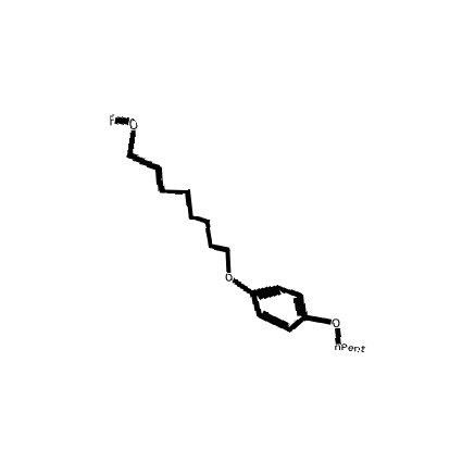 CCCCCOc1ccc(OCCCCCCCCOF)cc1